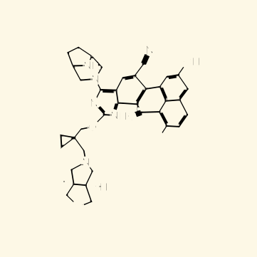 C#Cc1c(F)ccc2cc(O)cc(-c3c(C#N)cc4c(N5CC6CCC(C5)N6)nc(OCC5(CN6C[C@H]7COC[C@H]7C6)CC5)nc4c3F)c12